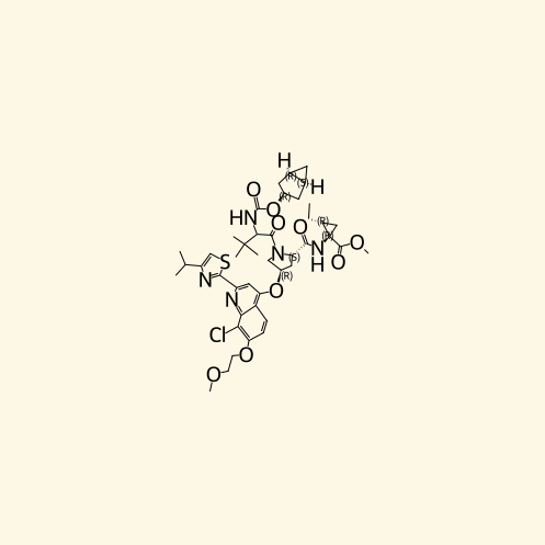 CC[C@@H]1C[C@]1(NC(=O)[C@@H]1C[C@@H](Oc2cc(-c3nc(C(C)C)cs3)nc3c(Cl)c(OCCOC)ccc23)CN1C(=O)C(NC(=O)O[C@@H]1C[C@@H]2C[C@@H]2C1)C(C)(C)C)C(=O)OC